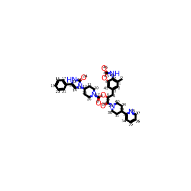 Cc1cc(CC(OC(=O)N2CCC(n3cc(-c4ccccc4)[nH]c3=O)CC2)C(=O)N2CCC(c3ccccn3)CC2)cc2oc(=O)[nH]c12